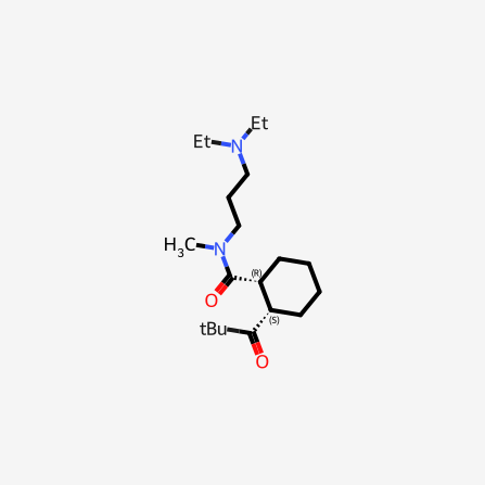 CCN(CC)CCCN(C)C(=O)[C@@H]1CCCC[C@@H]1C(=O)C(C)(C)C